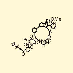 CCn1c(-c2cccnc2[C@H](C)OC)c2c3cc(ccc31)-c1cccc(c1)C[C@H](NC(=O)C(C(C)C)N1CO[C@]3(CCN(C(=O)C#CC(C)(C)N4CCC4)C3)C1=O)C(=O)N1CCC[C@H](N1)C(=O)OCC(C)(C)C2